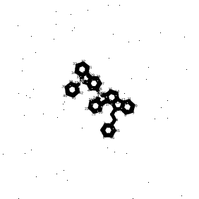 c1ccc(CCC2c3ccccc3-c3ccc4c(c32)c2ccccc2n4-c2ccc3c4ccccc4n(-c4ccccc4)c3c2)cc1